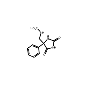 O=C(O)NCC1(c2cccnc2)NC(=O)NC1=O